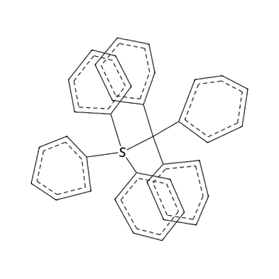 c1ccc(C(c2ccccc2)(c2ccccc2)S(c2ccccc2)(c2ccccc2)c2ccccc2)cc1